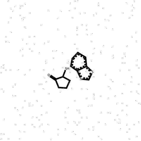 O=C1CCCC1S.c1ccc2scnc2c1